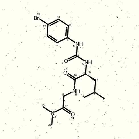 CC(C)C[C@H](NC(=O)Nc1ccc(Br)cc1)C(=O)NCC(=O)N(C)C